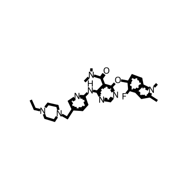 CCN1CCN(Cc2ccc(Nc3ncnc(Oc4ccc5c(cc(C)n5C)c4F)c3C(=O)N(C)C)nc2)CC1